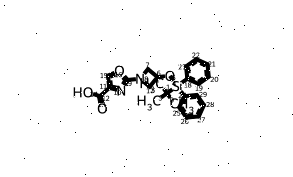 CC(C)(C)[Si](OC1CN(c2nc(C(=O)O)co2)C1)(c1ccccc1)c1ccccc1